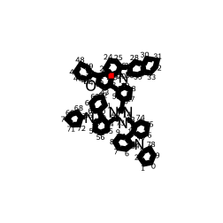 c1ccc(-n2c3ccccc3c3c(-c4nc(-c5ccc(-n6c7ccccc7c7cc8ccccc8cc76)c(-c6ccc7c(c6)oc6ccccc67)c5)nc(-c5cccc6c5c5ccccc5n6-c5ccccc5)n4)cccc32)cc1